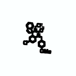 C=CC1(c2ccccc2)c2cc(Cl)ccc2N(Cc2ccc(OC)cc2)C(=O)N1CC(F)(F)F